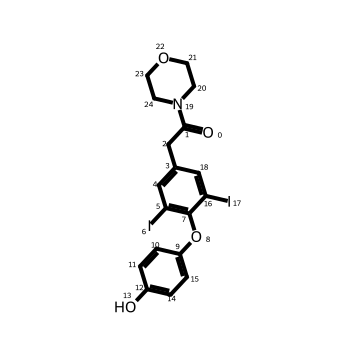 O=C(Cc1cc(I)c(Oc2ccc(O)cc2)c(I)c1)N1CCOCC1